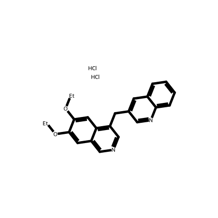 CCOc1cc2cncc(Cc3cnc4ccccc4c3)c2cc1OCC.Cl.Cl